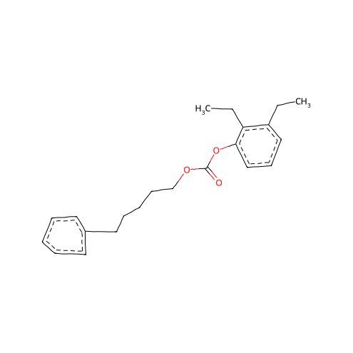 CCc1cccc(OC(=O)OCCCCCc2ccccc2)c1CC